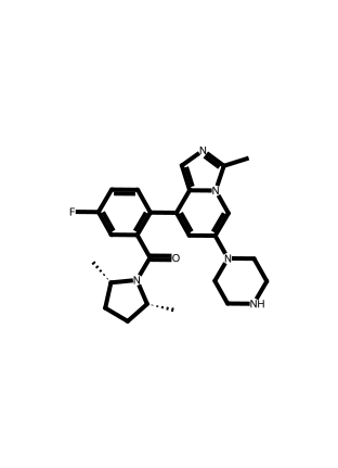 Cc1ncc2c(-c3ccc(F)cc3C(=O)N3[C@H](C)CC[C@@H]3C)cc(N3CCNCC3)cn12